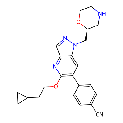 N#Cc1ccc(-c2cc3c(cnn3C[C@@H]3CNCCO3)nc2OCCC2CC2)cc1